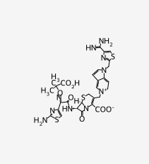 CC(C)(O/N=C(\C(=O)N[C@@H]1C(=O)N2C(C(=O)[O-])=C(C[n+]3ccc4c(ccn4Cc4nc(C(=N)N)cs4)c3)CS[C@H]12)c1csc(N)n1)C(=O)O